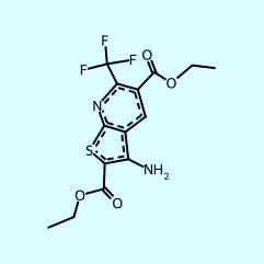 CCOC(=O)c1cc2c(N)c(C(=O)OCC)sc2nc1C(F)(F)F